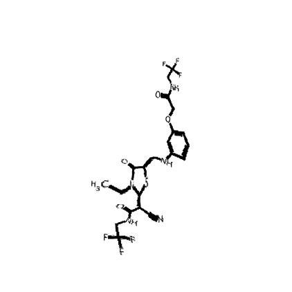 CCn1c(=C(C#N)C(=O)NCC(F)(F)F)sc(=CNc2cccc(OCC(=O)NCC(F)(F)F)c2)c1=O